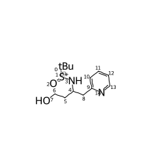 CC(C)(C)[S@@+]([O-])NC(CCO)Cc1ccccn1